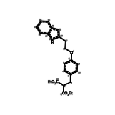 CCOC(=O)C(Cc1ccc(OCCc2cc3ccccc3[nH]2)cc1)C(=O)OCC